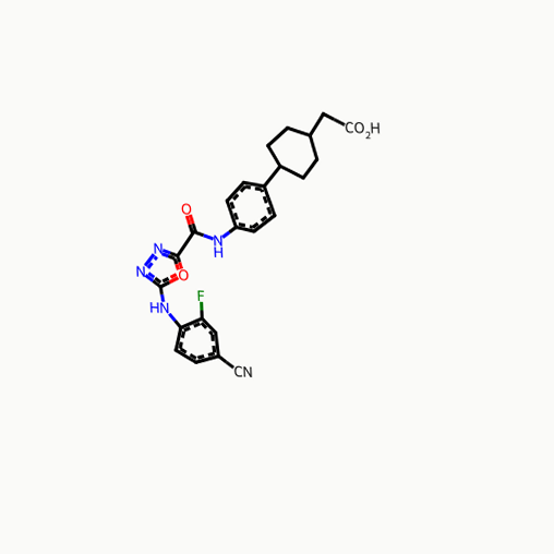 N#Cc1ccc(Nc2nnc(C(=O)Nc3ccc(C4CCC(CC(=O)O)CC4)cc3)o2)c(F)c1